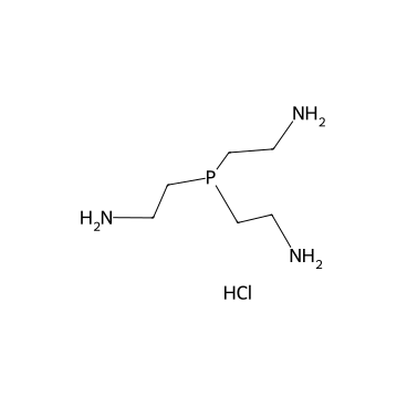 Cl.NCCP(CCN)CCN